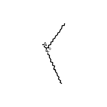 CCCCCCCCC=CCCCCCCCC[P-]OC(C[N+](C)(C)C)C(=O)CCCCCCCCCCCCCCC